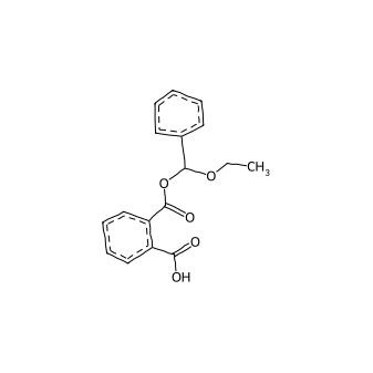 CCOC(OC(=O)c1ccccc1C(=O)O)c1ccccc1